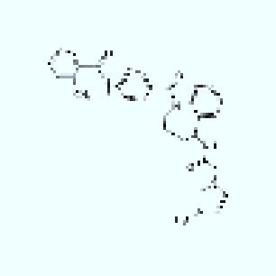 Cc1ccccc1C(=O)Nc1ccc(C(=O)N2CCCC(NC(=O)CN3C=CN(C)C3)c3ccccc32)cc1